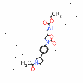 CCOC(=O)NC[C@H]1CN(c2ccc(C3CCN(C(C)=O)C3)cc2)C(=O)O1